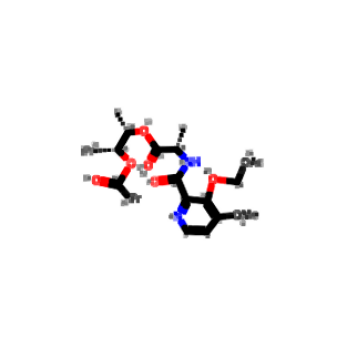 COc1ccnc(C(=O)N[C@@H](C)C(=O)O[C@@H](C)[C@H](OC(=O)C(C)C)C(C)C)c1OCOC(C)=O